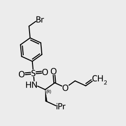 C=CCOC(=O)[C@@H](CC(C)C)NS(=O)(=O)c1ccc(CBr)cc1